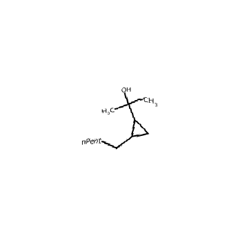 CCCCCCC1CC1C(C)(C)O